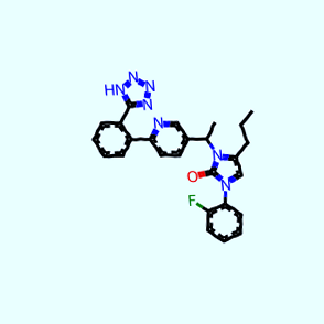 CCCc1cn(-c2ccccc2F)c(=O)n1C(C)c1ccc(-c2ccccc2-c2nnn[nH]2)nc1